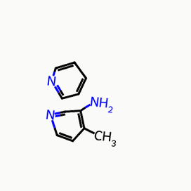 Cc1ccncc1N.c1ccncc1